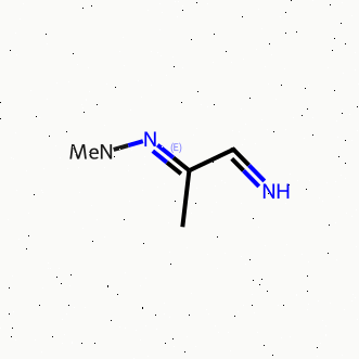 CN/N=C(\C)C=N